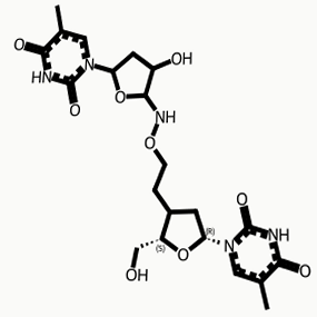 Cc1cn(C2CC(O)C(NOCCC3C[C@H](n4cc(C)c(=O)[nH]c4=O)O[C@@H]3CO)O2)c(=O)[nH]c1=O